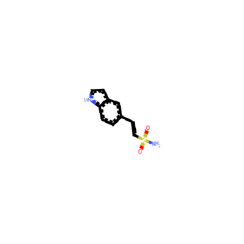 NS(=O)(=O)C=Cc1ccc2[nH]ccc2c1